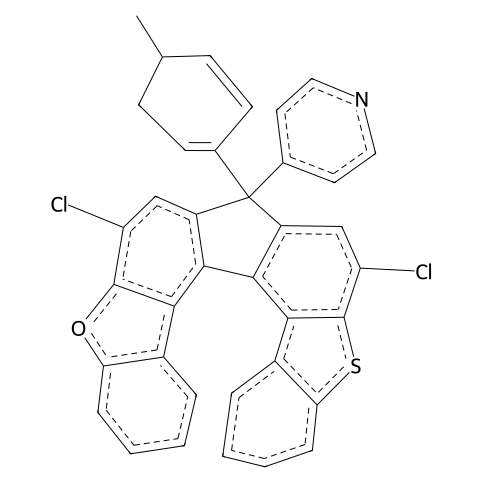 CC1C=CC(C2(c3ccncc3)c3cc(Cl)c4oc5ccccc5c4c3-c3c2cc(Cl)c2sc4ccccc4c32)=CC1